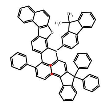 CC1(C)c2ccccc2-c2ccc(N(c3ccc4c(c3)C(c3ccccc3)(c3ccccc3)c3ccccc3-4)c3c(-c4ccccc4-c4ccccc4)ccc4c3oc3ccc5ccccc5c34)cc21